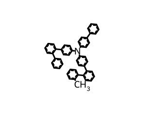 Cc1ccccc1-c1ccccc1-c1ccc(N(c2ccc(-c3ccccc3)cc2)c2ccc(-c3ccccc3-c3ccccc3)cc2)cc1